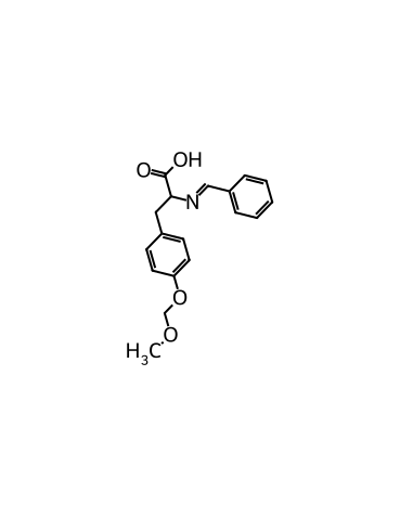 COCOc1ccc(CC(N=Cc2ccccc2)C(=O)O)cc1